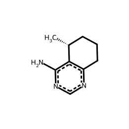 C[C@@H]1CCCc2ncnc(N)c21